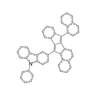 c1ccc(-n2c3ccccc3c3cc(C4=C5C(=C(c6cccc7ccccc67)c6ccccc65)c5ccc6ccccc6c54)ccc32)cc1